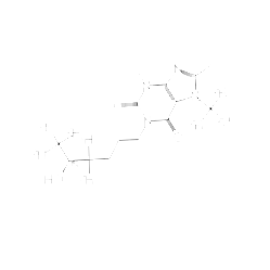 [2H]C([2H])([2H])[C@H](O)C([2H])([2H])CCCn1c(=O)c2c(nc(C)n2C([2H])([2H])[2H])n(C)c1=O